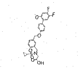 COc1cc(F)c(F)cc1-c1ccc(OCc2cccc(CN(CC(=O)O)S(=O)(=O)C3CC3)c2)cc1